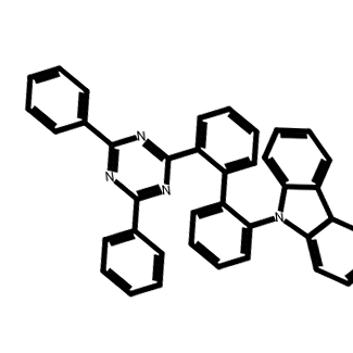 C1=CCC2C(=C1)N(c1ccccc1-c1ccccc1-c1nc(-c3ccccc3)nc(-c3ccccc3)n1)c1ccccc12